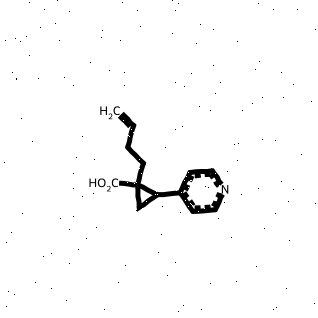 C=CCCC1(C(=O)O)CC1c1ccncc1